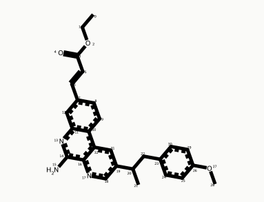 CCOC(=O)C=Cc1ccc2c(c1)nc(N)c1ncc(C(C)Cc3ccc(OC)cc3)cc12